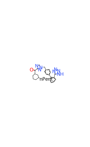 CCCCCC1CCCC(C(=O)c2ncn(Cc3ccc(-c4ccccc4-c4nnn[nH]4)cc3)n2)C1